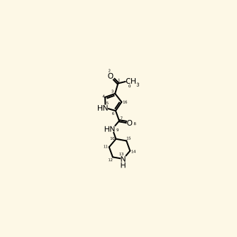 CC(=O)c1c[nH]c(C(=O)NC2CCNCC2)c1